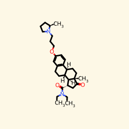 CCN(CC)C(=O)[C@H]1CC(=O)[C@@]2(C)CC[C@@H]3c4ccc(OCCCN5CCC[C@H]5C)cc4CC[C@H]3[C@H]12